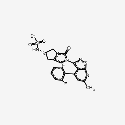 CCS(=O)(=O)N[C@H]1Cc2cn(-c3nsc4nc(C)cc(-c5c(F)cccc5F)c34)c(=O)n2C1